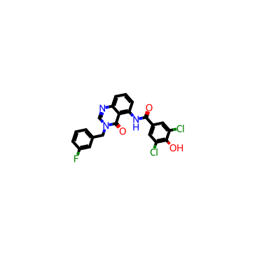 O=C(Nc1cccc2ncn(Cc3cccc(F)c3)c(=O)c12)c1cc(Cl)c(O)c(Cl)c1